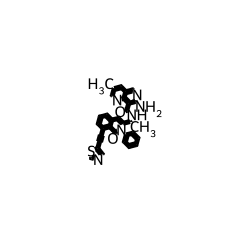 Cc1cnc2c(C(=O)NC(C)c3cc4cccc(C#Cc5cncs5)c4c(=O)n3-c3ccccc3)c(N)ncc2c1